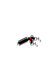 CCOC(=O)C1C2CC(C1C(=O)OCC)C(C(F)(F)C(F)(F)C(F)(F)C(F)(F)C(F)(F)C(F)(F)C(F)(F)C(F)(F)F)C2